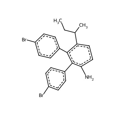 CCC(C)c1ccc(N)c(-c2ccc(Br)cc2)c1-c1ccc(Br)cc1